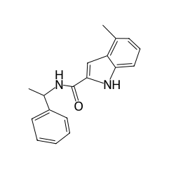 Cc1cccc2[nH]c(C(=O)NC(C)c3ccccc3)cc12